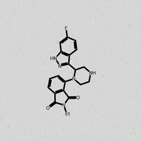 CCN1C(=O)c2cccc(N3CCNCC3c3n[nH]c4cc(F)ccc34)c2C1=O